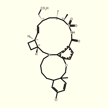 C[C@@H]1[C@@H](C)C[C@@H](CC(=O)O)/C=C/[C@@H]2CC[C@H]2CN2CCCCC3C=C(Cl)C=CC3(C)COc3ccc(cc32)C(=O)NS1(=O)=O